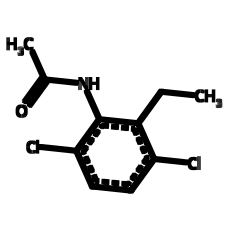 CCc1c(Cl)ccc(Cl)c1NC(C)=O